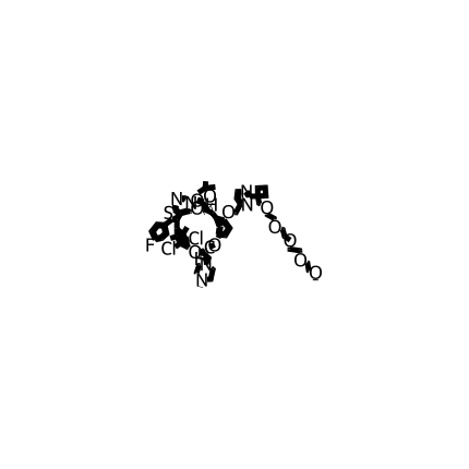 COCCOCCOCCOCCOCC1(c2nccc(COc3ccc4cc3C[C@H](C(=O)OC(C)(C)C)Oc3ncnc5sc(-c6ccc(F)cc6)c(c35)-c3c(C)c(Cl)c(c(Cl)c3C)O[C@H](CN3CCN(C)CC3)CO4)n2)CCC1